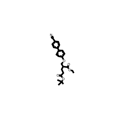 CCOC(=O)C(CCC(=O)OC(C)(C)C)COc1ccc(-c2ccc(C#N)cc2)cc1